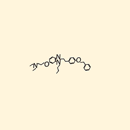 CCCCn1c(CCc2ccc(OCCc3ccccc3)cc2)nc2ccc(OCCCN(CC)CC)cc21